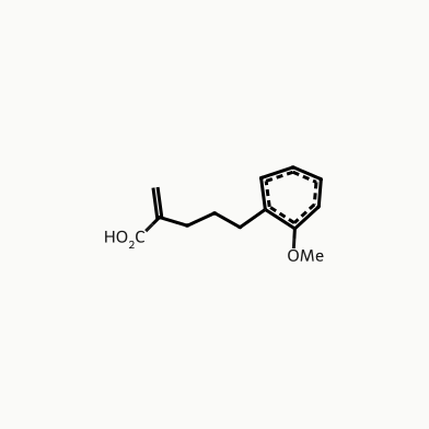 C=C(CCCc1ccccc1OC)C(=O)O